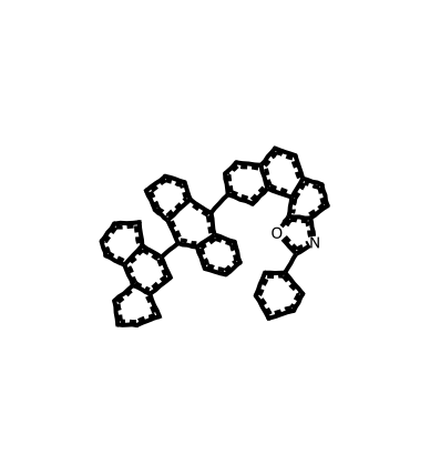 c1ccc(-c2nc3ccc4ccc5ccc(-c6c7ccccc7c(-c7cc8ccccc8c8ccccc78)c7ccccc67)cc5c4c3o2)cc1